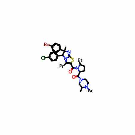 CCC1CCC(C(=O)N2CCN(C(C)=O)C(C)C2)N1C(=O)C1=C(C(C)C)N2C(=NC(C)(c3ccc(Br)cc3)C2c2ccc(Cl)cc2)S1